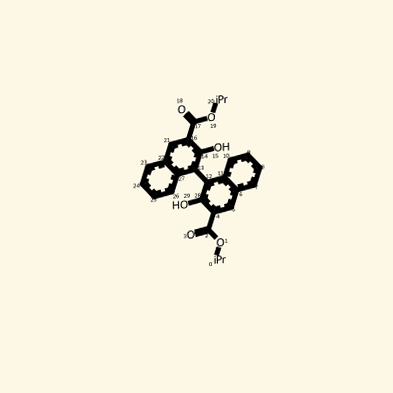 CC(C)OC(=O)c1cc2ccccc2c(-c2c(O)c(C(=O)OC(C)C)cc3ccccc23)c1O